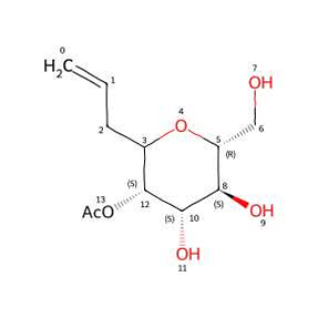 C=CCC1O[C@H](CO)[C@@H](O)[C@H](O)[C@@H]1OC(C)=O